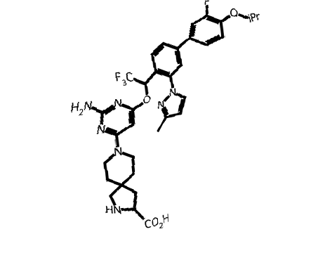 Cc1ccn(-c2cc(-c3ccc(OC(C)C)c(F)c3)ccc2C(Oc2cc(N3CCC4(CC3)CNC(C(=O)O)C4)nc(N)n2)C(F)(F)F)n1